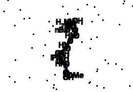 CCCCOc1nc(N)c2nc(O)n(Cc3ccc(C(=O)NCCOCCNC(=O)CCCNC(=O)[C@@H](NC(=O)CNC(=O)/C=C/c4ccc(O)c(OC)c4)C(C)C)cc3)c2n1